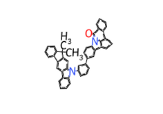 CC1(C)c2ccccc2-c2cc3c4ccccc4n(-c4cccc(-c5ccc6c(c5)c5cccc7c8ccccc8c(=O)n6c75)c4)c3cc21